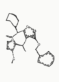 C=CC(c1onc(OCc2ccccc2)c1C(C)c1occc1OC)C1CCC1